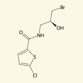 O=C(NC[C@H](O)CBr)c1ccc(Cl)s1